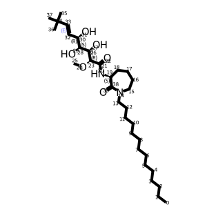 CCCCCCCCCCCCCCN1CCCC[C@H](NC(=O)[C@H](OC)[C@H](O)[C@@H](O)[C@H](O)/C=C/C(C)(C)C)C1=O